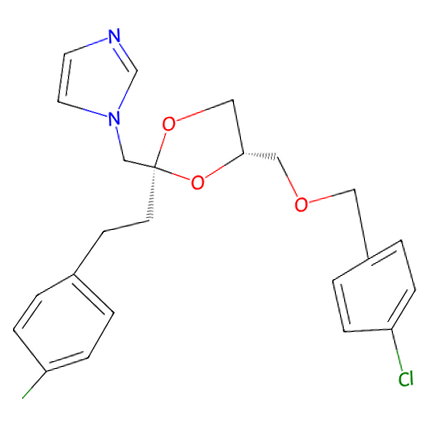 Clc1ccc(CC[C@]2(Cn3ccnc3)OC[C@H](COCc3ccc(Cl)cc3)O2)cc1